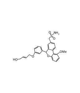 COc1cccc2c1-c1ccc(CS(N)(=O)=O)cc1C(c1cccc(OCC=CCO)c1)O2